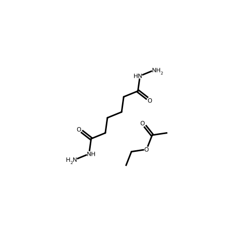 CCOC(C)=O.NNC(=O)CCCCC(=O)NN